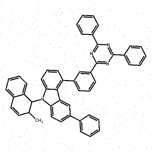 CC1C=Cc2ccccc2C1n1c2ccc(-c3ccccc3)cc2c2c(-c3cccc(-c4nc(-c5ccccc5)nc(-c5ccccc5)n4)c3)cccc21